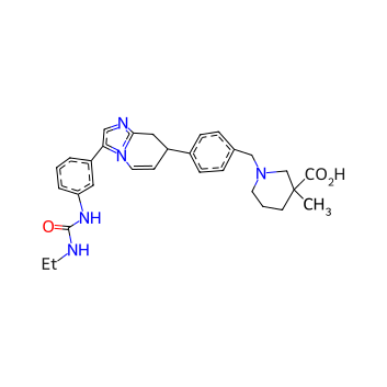 CCNC(=O)Nc1cccc(-c2cnc3n2C=CC(c2ccc(CN4CCCC(C)(C(=O)O)C4)cc2)C3)c1